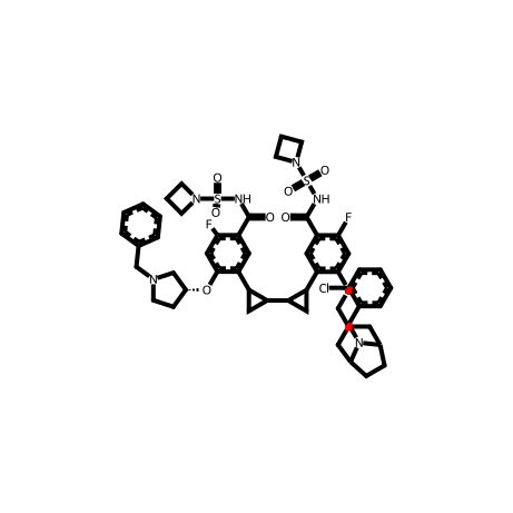 O=C(NS(=O)(=O)N1CCC1)c1cc(C2CC2C2CC2c2cc(C(=O)NS(=O)(=O)N3CCC3)c(F)cc2O[C@@H]2CCN(Cc3ccccc3)C2)c(OCC2CC3CCC(C2)N3Cc2ccccc2Cl)cc1F